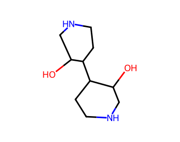 OC1CNCCC1C1CCNCC1O